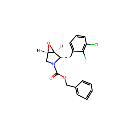 O=C(OCc1ccccc1)N1C[C@H]2O[C@H]2[C@@H]1Cc1cccc(Cl)c1F